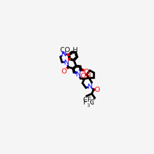 O=C(O)N1CCN(C(=O)c2cn(C[C@]3(O)CCN(C(=O)C(CC(F)(F)F)CC(F)(F)F)CC34CCCC4)c(=O)cc2-c2ccccc2)CC1